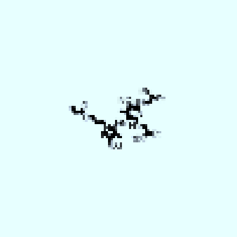 C=CC(=O)OCCCn1nc(C(C)(C)C)c(C)c1N=Nc1c(NCC(CC)C(C)(C)C)nc(NCC(CC)C(C)(C)C)c(C#N)c1C